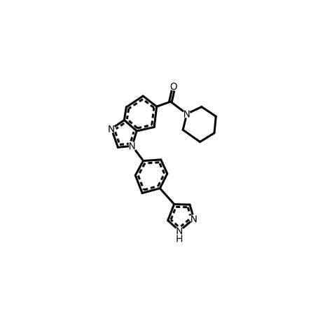 O=C(c1ccc2ncn(-c3ccc(-c4cn[nH]c4)cc3)c2c1)N1CCCCC1